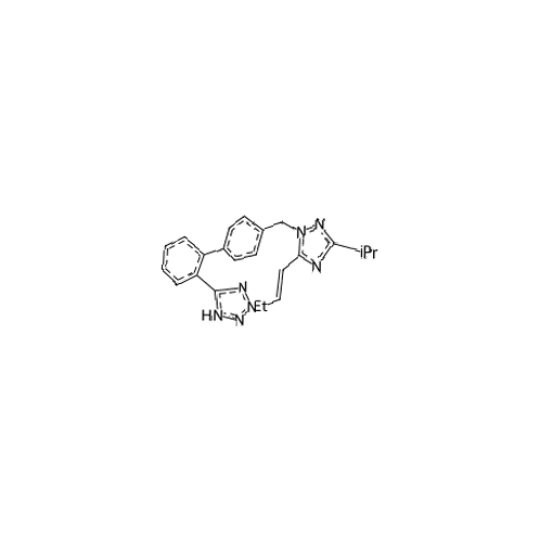 CCC=Cc1nc(C(C)C)nn1Cc1ccc(-c2ccccc2-c2nnn[nH]2)cc1